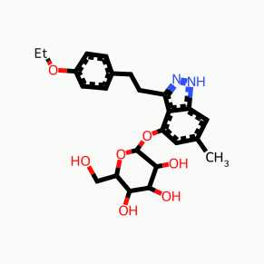 CCOc1ccc(CCc2n[nH]c3cc(C)cc(OC4OC(CO)C(O)C(O)C4O)c23)cc1